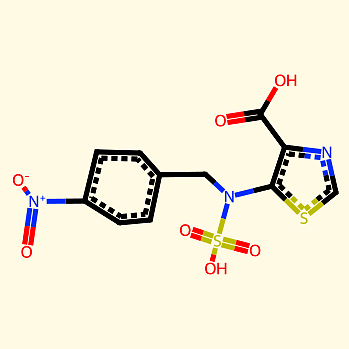 O=C(O)c1ncsc1N(Cc1ccc([N+](=O)[O-])cc1)S(=O)(=O)O